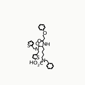 O=C(CCOc1ccccc1)NC(CCCCN(Cc1ccccc1)C(=O)O)C(=O)N(Cc1cccs1)Cc1cccs1